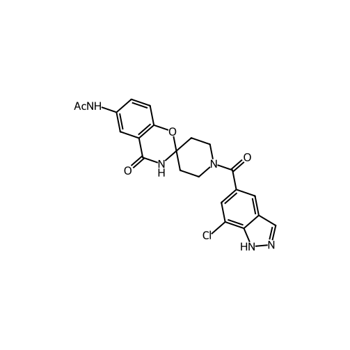 CC(=O)Nc1ccc2c(c1)C(=O)NC1(CCN(C(=O)c3cc(Cl)c4[nH]ncc4c3)CC1)O2